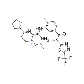 C=C/N=C1/C=NC(N2CCCC2)=N/C1=C(/N)Nc1cc(C(=O)Nc2nnc(C(F)(F)F)s2)ccc1C